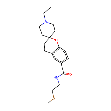 CCN1CCC2(CCc3cc(C(=O)NCCSC)ccc3O2)CC1